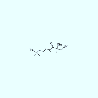 CC(C)CC(C)(C(=O)OCCCS(C)(C)C(C)C)C(C)(C)C